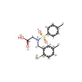 Cc1ccc(S(=O)(=O)N(CC(=O)O)Cc2cc(C)ccc2Br)cc1